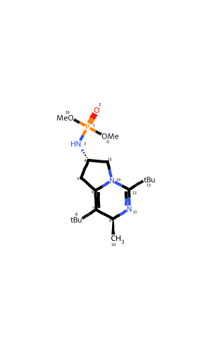 COP(=O)(N[C@H]1CC2=C(C(C)(C)C)[C@H](C)N=C(C(C)(C)C)N2C1)OC